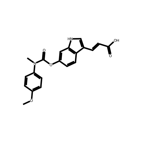 COc1ccc(N(C)C(=O)Oc2ccc3c(C=CC(=O)O)c[nH]c3c2)cc1